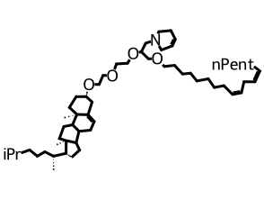 CCCCC/C=C\C/C=C\CCCCCCCCOCC(CN1CC=CCC1)OCCOCCO[C@H]1CC[C@@]2(C)C(=CCC3C2CC[C@@]2(C)C3CC[C@@H]2[C@H](C)CCCC(C)C)C1